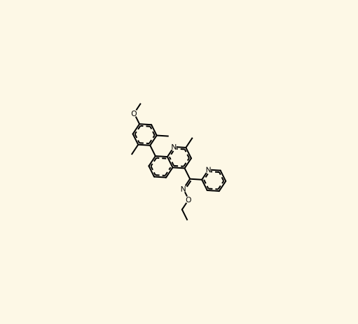 CCON=C(c1ccccn1)c1cc(C)nc2c(-c3c(C)cc(OC)cc3C)cccc12